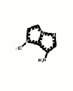 Nc1cnn2ccn(O)c12